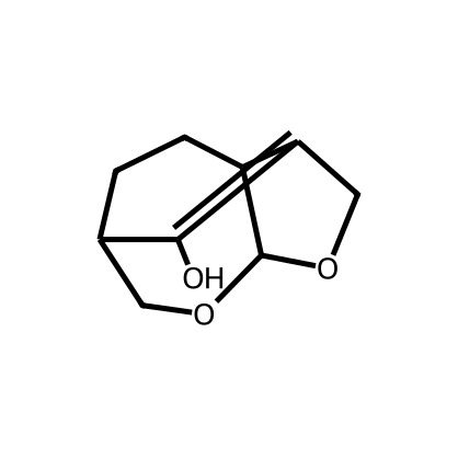 OC1=C2COC3OCC1CCC23